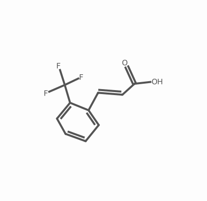 O=C(O)/C=C/c1ccccc1C(F)(F)F